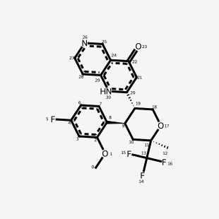 COc1cc(F)ccc1[C@@H]1C[C@](C)(C(F)(F)F)OC[C@H]1c1cc(=O)c2cnccc2[nH]1